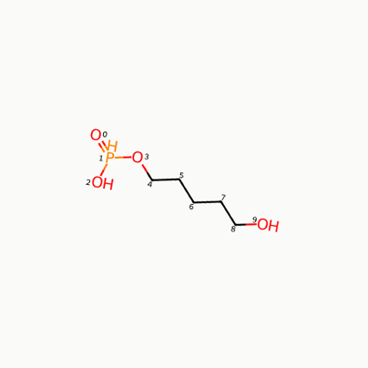 O=[PH](O)OCCCCCO